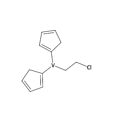 ClC[CH2][V]([C]1=CC=CC1)[C]1=CC=CC1